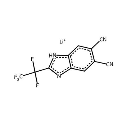 N#Cc1cc2nc(C(F)(F)C(F)(F)F)[nH]c2cc1C#N.[Li+]